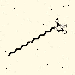 CCCCCCCCCCCCCCCCN1CC(=O)NC1=O